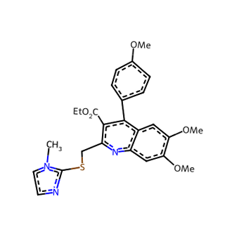 CCOC(=O)c1c(CSc2nccn2C)nc2cc(OC)c(OC)cc2c1-c1ccc(OC)cc1